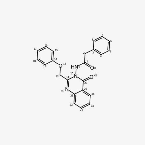 O=C(Cc1ccccc1)Nn1c(COc2ccccc2)nc2ccccc2c1=O